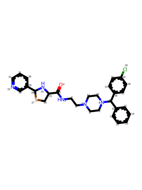 O=C(NCCN1CCN(C(c2ccccc2)c2ccc(Cl)cc2)CC1)C1CSC(c2cccnc2)N1